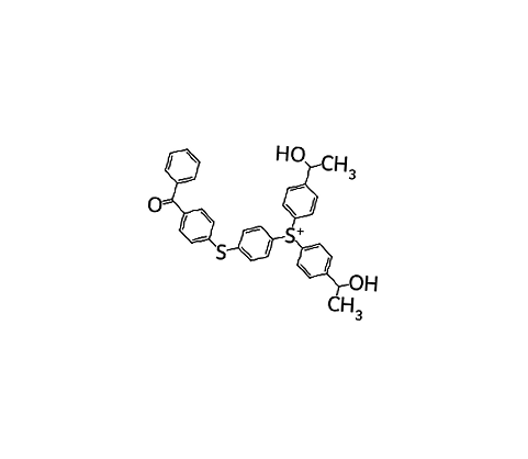 CC(O)c1ccc([S+](c2ccc(Sc3ccc(C(=O)c4ccccc4)cc3)cc2)c2ccc(C(C)O)cc2)cc1